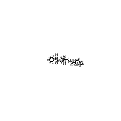 O=C(NCCC1[C@H]2CN(C(=O)Nc3ccccc3)C[C@@H]12)c1ccc2nccn2c1